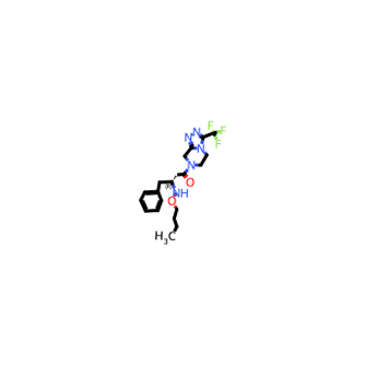 CCCCON[C@@H](CC(=O)N1CCn2c(nnc2C(F)(F)F)C1)Cc1ccccc1